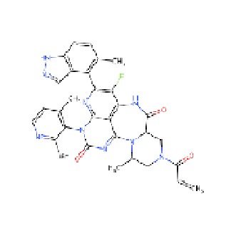 C=CC(=O)N1CC(C)N2c3nc(=O)n(-c4c(C)ccnc4C(C)C)c4nc(-c5c(C)ccc6[nH]ncc56)c(F)c(c34)NC(=O)C2C1